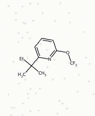 CCC(C)(C)c1cccc(OC(F)(F)F)n1